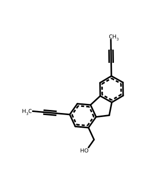 CC#Cc1ccc2c(c1)-c1cc(C#CC)cc(CO)c1C2